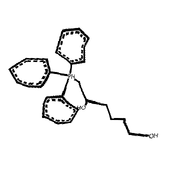 OCCCCC(O)C[PH](c1ccccc1)(c1ccccc1)c1ccccc1